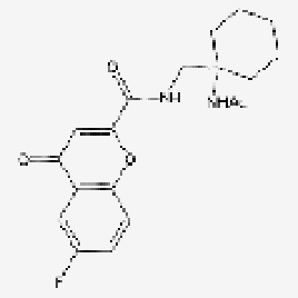 CC(=O)NC1(CNC(=O)c2cc(=O)c3cc(F)ccc3o2)CCCCC1